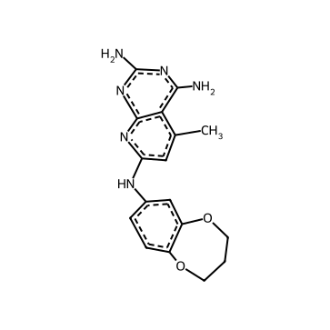 Cc1cc(Nc2ccc3c(c2)OCCCO3)nc2nc(N)nc(N)c12